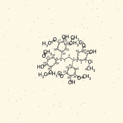 COc1cc(C(CCC(c2cc(OC)c(O)c(OC)c2)c2cc(OC)c(O)c(OC)c2)c2cc(OC)c(O)c(OC)c2)cc(OC)c1O